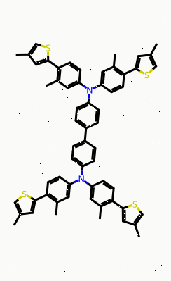 Cc1csc(-c2ccc(N(c3ccc(-c4ccc(N(c5ccc(-c6cc(C)cs6)c(C)c5)c5ccc(-c6cc(C)cs6)c(C)c5)cc4)cc3)c3ccc(-c4cc(C)cs4)c(C)c3)cc2C)c1